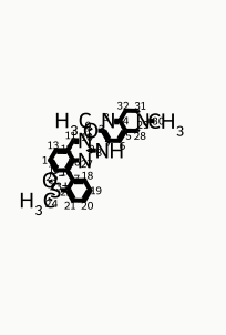 COc1nc2c(cc1Nc1ncc3cccc(-c4ccccc4[S+](C)[O-])c3n1)CN(C)CC2